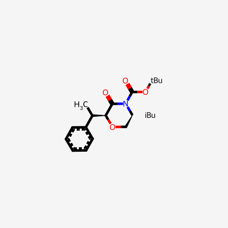 CC[C@H](C)[C@H]1CO[C@@H](C(C)c2ccccc2)C(=O)N1C(=O)OC(C)(C)C